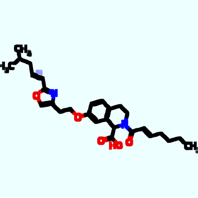 CCCCC=CC(=O)N1CCc2ccc(OCCc3coc(/C=C/CC(C)C)n3)cc2C1C(=O)O